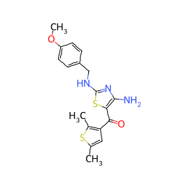 COc1ccc(CNc2nc(N)c(C(=O)c3cc(C)sc3C)s2)cc1